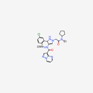 CCN(C(=O)CN1C=C(NC(=O)c2cnn3cccnc23)C(c2cc(Cl)ccc2OC)N1)C1CCCC1